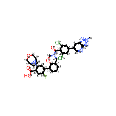 Cn1nc2cc(-c3cc(Cl)c(C(=O)N4COc5c(cccc5-c5cc(N6C7CCC6COC7)c(C(=O)O)cc5F)C4)c(Cl)c3)cnc2n1